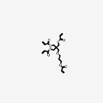 C=CC(=O)OCCCOCC(COC(=O)C=C)(COC(=O)C=C)COC(=O)C=C